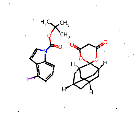 CC(C)(C)OC(=O)n1ccc2c(I)cccc21.O=C1CC(=O)OC2(O1)[C@H]1C[C@H]3C[C@H](C1)C[C@H]2C3